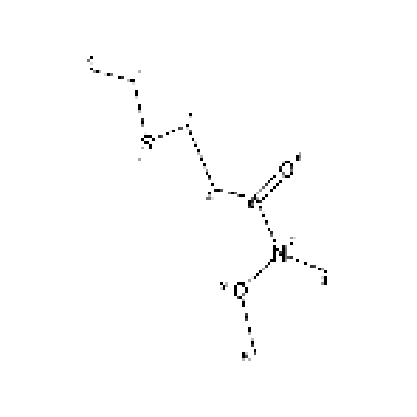 CCSCCC(=O)N(C)OC